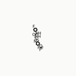 O=C(NSc1nc2ccc(OC(F)(F)F)cc2s1)Nc1ccc(F)cc1